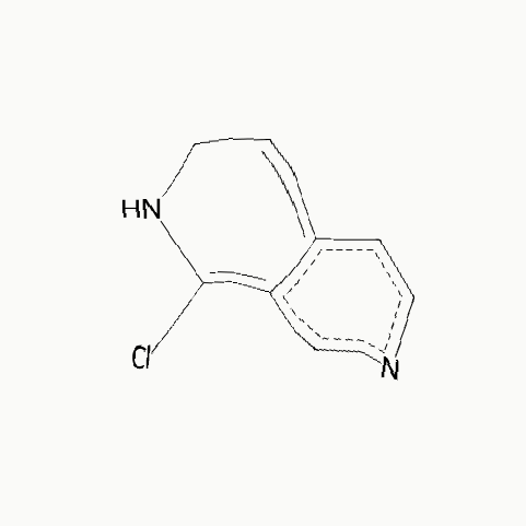 ClC1=c2cnccc2=CCN1